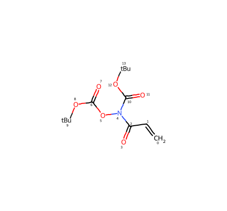 C=CC(=O)N(OC(=O)OC(C)(C)C)C(=O)OC(C)(C)C